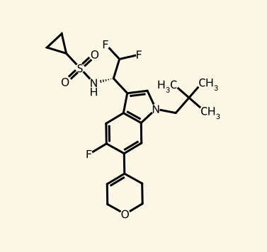 CC(C)(C)Cn1cc([C@H](NS(=O)(=O)C2CC2)C(F)F)c2cc(F)c(C3=CCOCC3)cc21